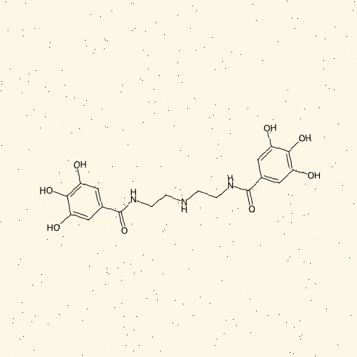 O=C(NCCNCCNC(=O)c1cc(O)c(O)c(O)c1)c1cc(O)c(O)c(O)c1